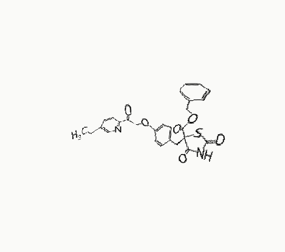 CCc1ccc(C(=O)COc2ccc(C[C@@]3(C(=O)OCc4ccccc4)SC(=O)NC3=O)cc2)nc1